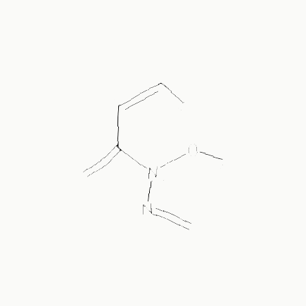 C=NN(OC)C(=C)/C=C\C